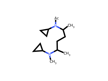 CC(=O)N(C(C)CCC(C)N(C)C1CC1)C1CC1